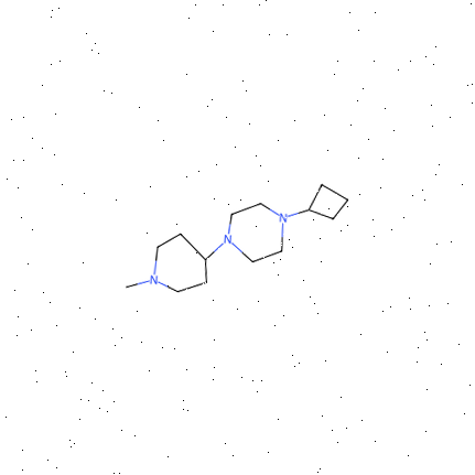 CN1CCC(N2CCN(C3CCC3)CC2)CC1